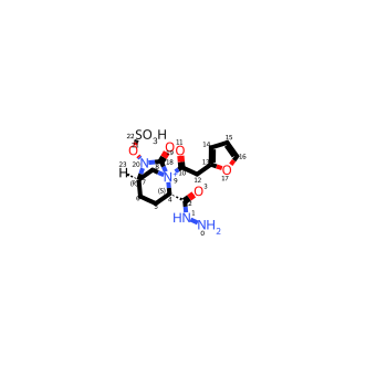 NNC(=O)[C@@H]1CC[C@@H]2C[N+]1(C(=O)Cc1ccco1)C(=O)N2OS(=O)(=O)O